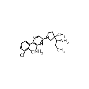 CC[C@H](N)[C@@]1(C)CCN(c2cnc(-c3cccc(Cl)c3Cl)c(N)n2)C1